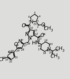 COC[C@@H]1CCCN1C(=O)c1cc(C(=O)NC2CCN(C(C)C)CC2)n(Cc2cc(-c3ccc(Cl)s3)on2)n1